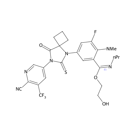 CCC/N=C(/OCCO)c1cc(N2C(=S)N(c3cnc(C#N)c(C(F)(F)F)c3)C(=O)C23CCC3)cc(F)c1NC